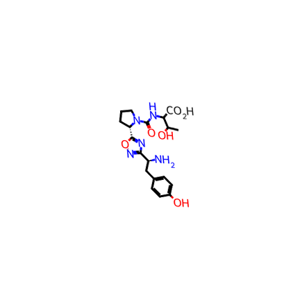 CC(O)C(NC(=O)N1CCC[C@H]1c1nc([C@@H](N)Cc2ccc(O)cc2)no1)C(=O)O